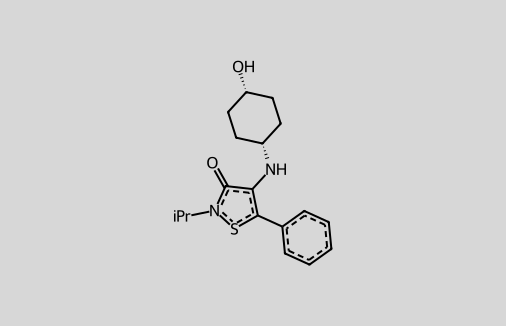 CC(C)n1sc(-c2ccccc2)c(N[C@H]2CC[C@@H](O)CC2)c1=O